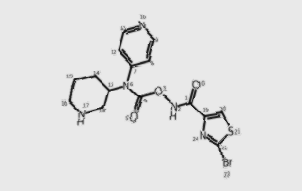 O=C(NOC(=O)N(c1ccncc1)C1CCCNC1)c1csc(Br)n1